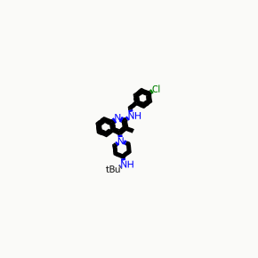 Cc1c(NCc2ccc(Cl)cc2)nc2ccccc2c1N1CCC(NC(C)(C)C)CC1